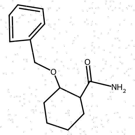 NC(=O)C1CCCCC1OCc1ccccc1